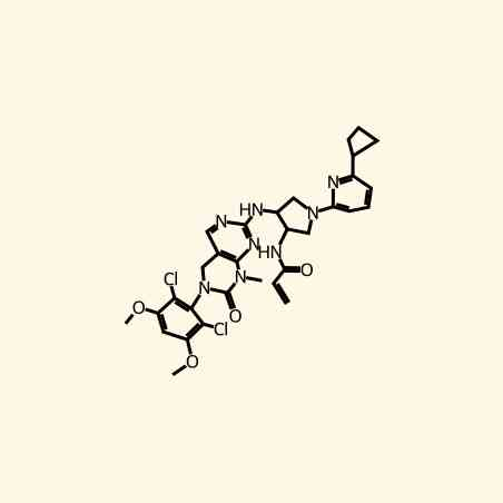 C=CC(=O)NC1CN(c2cccc(C3CCC3)n2)CC1Nc1ncc2c(n1)N(C)C(=O)N(c1c(Cl)c(OC)cc(OC)c1Cl)C2